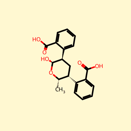 C[C@@H]1O[C@@H](O)[C@@H](c2ccccc2C(=O)O)C[C@@H]1c1ccccc1C(=O)O